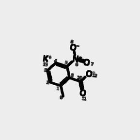 Cc1cccc([N+](=O)[O-])c1C(=O)[O-].[K+]